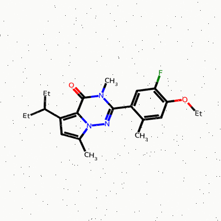 CCOc1cc(C)c(-c2nn3c(C)cc(C(CC)CC)c3c(=O)n2C)cc1F